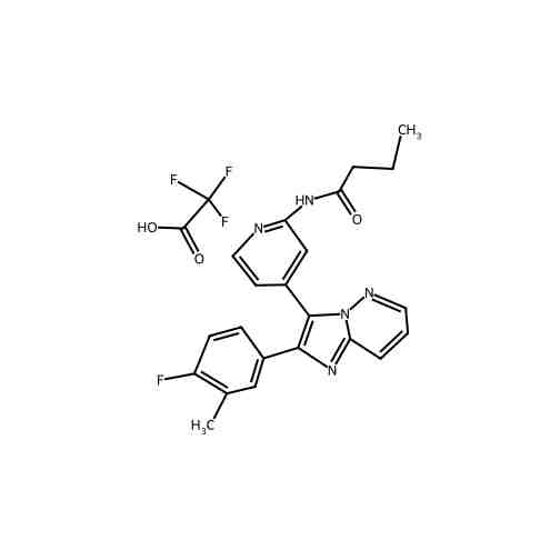 CCCC(=O)Nc1cc(-c2c(-c3ccc(F)c(C)c3)nc3cccnn23)ccn1.O=C(O)C(F)(F)F